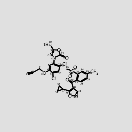 C#CCOc1cc(-n2nc(C(C)(C)C)oc2=O)c(Cl)cc1Cl.CS(=O)(=O)c1cc(C(F)(F)F)ccc1C(=O)c1cnoc1C1CC1